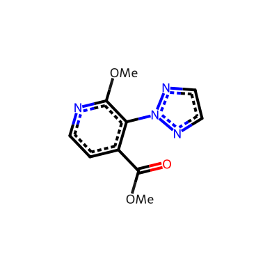 COC(=O)c1ccnc(OC)c1-n1nccn1